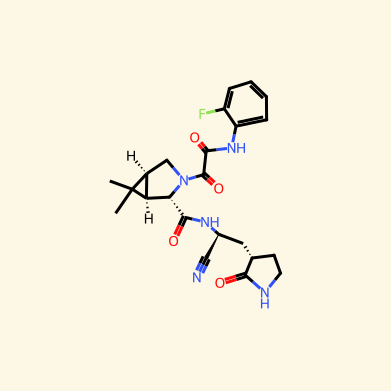 CC1(C)[C@@H]2[C@@H](C(=O)N[C@H](C#N)C[C@@H]3CCNC3=O)N(C(=O)C(=O)Nc3ccccc3F)C[C@@H]21